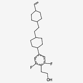 C=CC1CCC(CCC2CCC(c3cc(F)c(CCO)c(F)c3)CC2)CC1